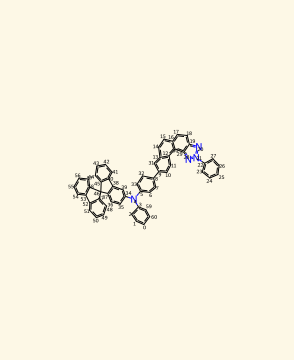 c1ccc(N(c2ccc(-c3ccc4c(ccc5ccc6nn(-c7ccccc7)nc6c54)c3)cc2)c2ccc3c(c2)-c2ccccc2C32c3ccccc3-c3ccccc32)cc1